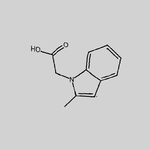 Cc1[c]c2ccccc2n1CC(=O)O